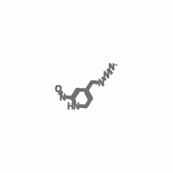 [N-]=[N+]=NCC1=CCNC(N=O)=C1